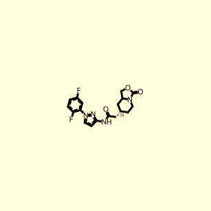 O=C(C[C@H]1CCN2C(=O)OCC2C1)Nc1ccn(-c2cc(F)ccc2F)n1